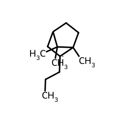 CCC[C]1CC2CCC1(C)C2(C)C